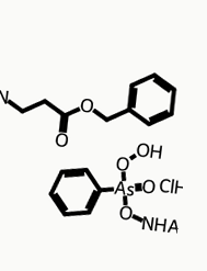 CC(=O)NO[As](=O)(OO)c1ccccc1.Cl.NCCC(=O)OCc1ccccc1